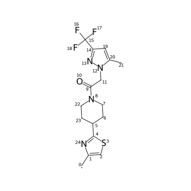 [CH2]c1csc(C2CCN(C(=O)Cn3nc(C(F)(F)F)cc3C)CC2)n1